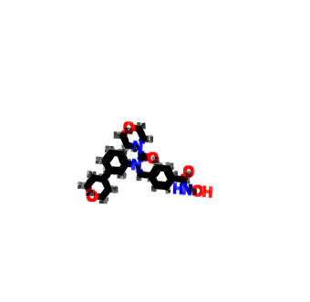 O=C(NO)c1ccc(CN(C(=O)N2CCOCC2)c2cccc(C3CCOCC3)c2)cc1